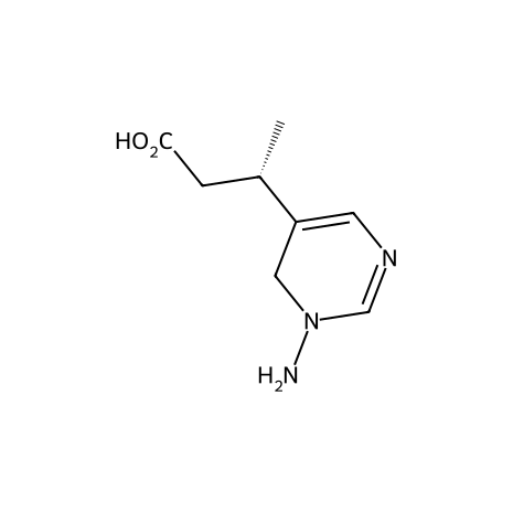 C[C@@H](CC(=O)O)C1=CN=CN(N)C1